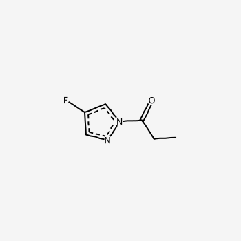 CCC(=O)n1cc(F)cn1